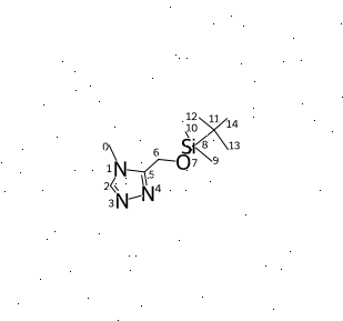 Cn1cnnc1CO[Si](C)(C)C(C)(C)C